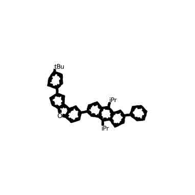 CC(C)c1c2ccc(-c3ccc4oc5ccc(-c6ccc(C(C)(C)C)cc6)cc5c4c3)cc2c(C(C)C)c2ccc(-c3ccccc3)cc12